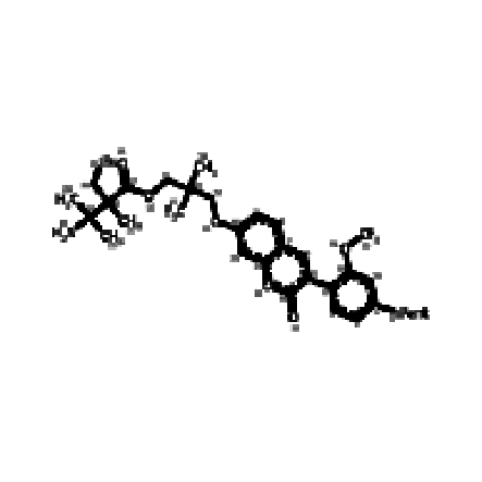 CCCCCc1ccc(-c2cc3ccc(OCC(C)(COC(=O)C(C)(CC(C)(C)C)C(C)(C)N)C(F)(F)F)cc3oc2=O)c(OC(F)(F)F)c1